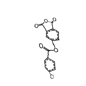 O=C(Oc1ccc2c(c1)C(=O)OC2=O)c1ccc(Cl)cc1